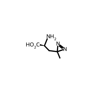 CC1(C[C@H](N)C(=O)O)N=N1